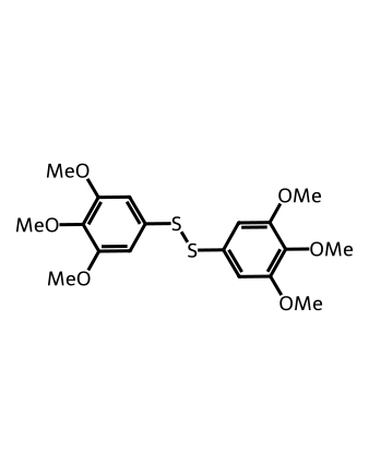 COc1cc(SSc2cc(OC)c(OC)c(OC)c2)cc(OC)c1OC